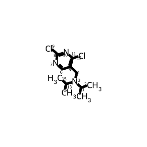 CC(C)N(Cc1cnc(Cl)nc1Cl)C(C)C